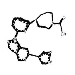 O=C(O)N1CCCN(c2cccc(-n3ncc4cnc(-c5cn[nH]c5)cc43)n2)CC1